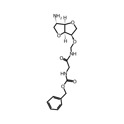 N[C@H]1CO[C@H]2[C@@H]1OC[C@H]2OCNC(=O)CNC(=O)OCc1ccccc1